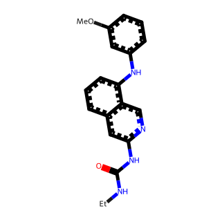 CCNC(=O)Nc1cc2cccc(Nc3cccc(OC)c3)c2cn1